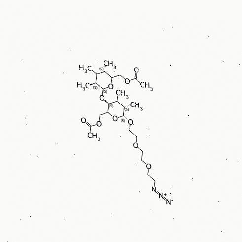 CC(=O)OCC1O[C@@H](O[C@@H]2C(COC(C)=O)O[C@@H](OCCOCCOCCN=[N+]=[N-])[C@@H](C)C2C)[C@@H](C)C(C)[C@@H]1C